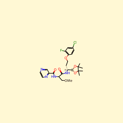 COCC(NC(=O)c1cnccn1)C(=O)N[C@H](CCOc1ccc(Cl)cc1F)B1OC(C)(C)C(C)(C)O1